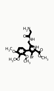 COC(=O)c1[nH]c(CNC(=O)CN)c(-c2ccc(OC)c(OC)c2OC)c1Br